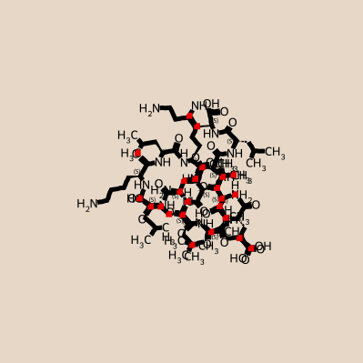 CC(C)C[C@H](NC(=O)[C@H](CCCCN)NC(=O)[C@H](CC(C)C)NC(=O)[C@H](CCC(=O)O)NC(=O)[C@H](CC(C)C)NC(=O)[C@H](CCC(=O)O)NC(=O)[C@H](CC(C)C)NC(=O)[C@H](CCCCN)NC(=O)[C@H](CC(C)C)NC(=O)[C@H](CCCCN)NC(=O)[C@H](CC(C)C)NC(=O)[C@H](CCC(=O)O)NC(=O)[C@H](CC(C)C)NC(=O)[C@H](CCC(=O)O)NC(=O)[C@@H](N)CC(C)C)C(=O)N[C@@H](CCCCN)C(=O)O